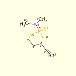 C#CC1CCSP(=S)(N(C)C)S1